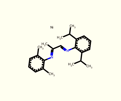 CC(C=Nc1c(C(C)C)cccc1C(C)C)=Nc1c(C)cccc1C.[Ni]